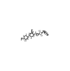 Fc1ccc(-c2ccc(COC3CC(N=C=S)C3)c(F)c2)cc1